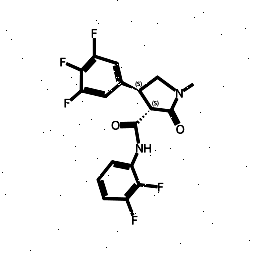 CN1C[C@H](c2cc(F)c(F)c(F)c2)[C@@H](C(=O)Nc2cccc(F)c2F)C1=O